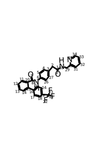 O=C(Cc1ccc(NC(=O)c2ccccc2-c2ccc(C(F)(F)F)cc2)cc1)NCc1ccccn1